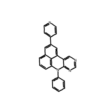 c1ccc(N2c3ncncc3-c3cc(-c4ccncc4)cc4cccc2c34)cc1